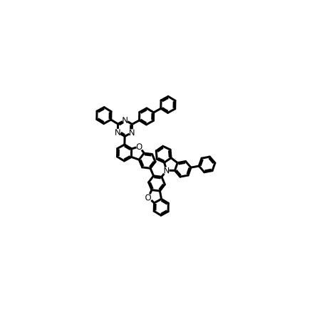 c1ccc(-c2ccc(-c3nc(-c4ccccc4)nc(-c4cccc5c4oc4ccc(-c6cc7oc8ccccc8c7cc6-n6c7ccccc7c7cc(-c8ccccc8)ccc76)cc45)n3)cc2)cc1